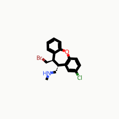 CNC[C@H]1c2cc(Cl)ccc2Oc2ccccc2[C@@H]1CBr